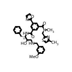 COc1cccc(CNC[C@@H](O)[C@H](Cc2ccccc2)NC(=O)c2cc(C(=O)N(C)Cc3nc(C)cs3)cc(-c3ncco3)c2)c1